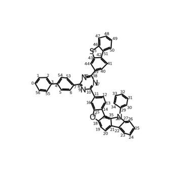 c1ccc(-c2ccc(-c3nc(-c4ccc5c(c4)oc4ccc6c7ccccc7n(-c7ccccc7)c6c45)nc(-c4ccc5c(c4)sc4ccccc45)n3)cc2)cc1